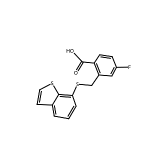 O=C(O)c1ccc(F)cc1CSc1cccc2ccsc12